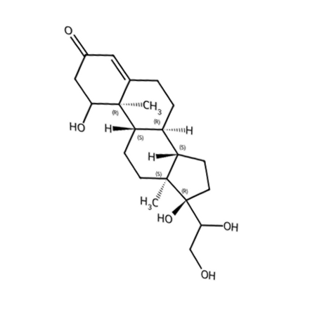 C[C@]12CC[C@H]3[C@@H](CCC4=CC(=O)CC(O)[C@@]43C)[C@@H]1CC[C@]2(O)C(O)CO